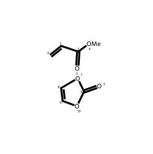 C=CC(=O)OC.O=c1occo1